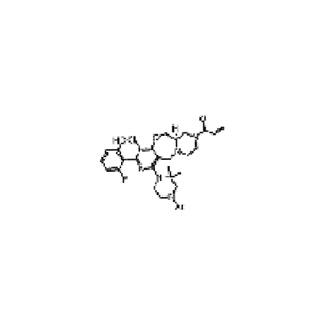 C=CC(=O)N1CCN2Cc3c(N4CCN(C(C)=O)CC4(C)C)nc(-c4c(O)cccc4F)c(Cl)c3OC[C@H]2C1